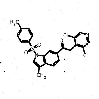 Cc1ccc(S(=O)(=O)n2cc(C)c3ccc(C(=O)Cc4c(Cl)cncc4Cl)cc32)cc1